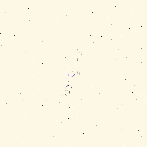 C=C(/C=C\C(=C/C)CC(=O)/C(=C/c1cccc(CC)c1C)C(C)=O)CCCCCCN(C)CCC